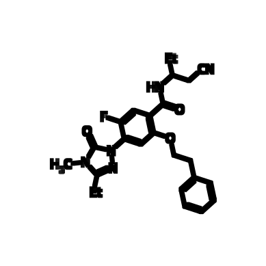 CCc1nn(-c2cc(OCCc3ccccc3)c(C(=O)NC(CC)CC#N)cc2F)c(=O)n1C